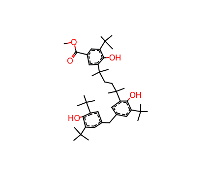 COC(=O)c1cc(C(C)(C)C)c(O)c(C(C)(C)CCC(C)(C)c2cc(Cc3cc(C(C)(C)C)c(O)c(C(C)(C)C)c3)cc(C(C)(C)C)c2O)c1